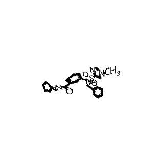 Cn1cnc(S(=O)(=O)N(Cc2ccccc2)c2cccc(C(=O)NCc3ccccc3)c2)c1